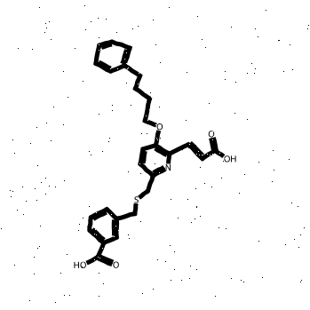 O=C(O)C=Cc1nc(CSCc2cccc(C(=O)O)c2)ccc1OCCCCc1ccccc1